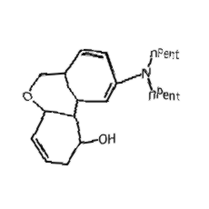 CCCCCN(CCCCC)C1=CC2C(C=C1)COC1C=CCC(O)C12